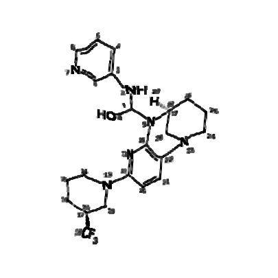 OC(Nc1cccnc1)N1c2nc(N3CCC[C@H](C(F)(F)F)C3)ccc2N2CCC[C@H]1C2